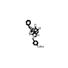 COc1ccc(CN2C[C@@H]3C[C@H]4C(=O)N[C@]3(C(=O)NCc3ccccc3)[C@@H]2[C@@H]4CC(C)C)cc1